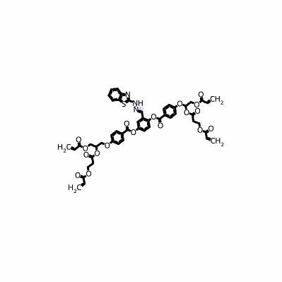 C=CC(=O)OCCC(=O)OC(COC(=O)C=C)COc1ccc(C(=O)Oc2ccc(OC(=O)c3ccc(OC(COC(=O)C=C)OC(=O)CCOC(=O)C=C)cc3)c(/C=N/Nc3nc4ccccc4s3)c2)cc1